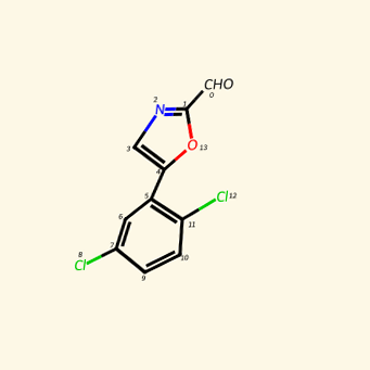 O=Cc1ncc(-c2cc(Cl)ccc2Cl)o1